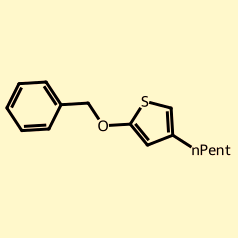 CCCCCc1csc(OCc2ccccc2)c1